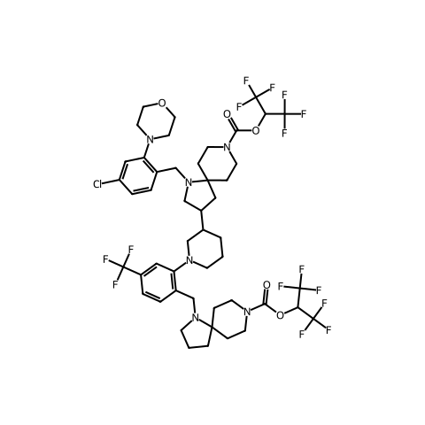 O=C(OC(C(F)(F)F)C(F)(F)F)N1CCC2(CCCN2Cc2ccc(C(F)(F)F)cc2N2CCCC(C3CN(Cc4ccc(Cl)cc4N4CCOCC4)C4(CCN(C(=O)OC(C(F)(F)F)C(F)(F)F)CC4)C3)C2)CC1